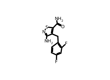 NC(=O)c1snc(N)c1Cc1ccc(F)cc1F